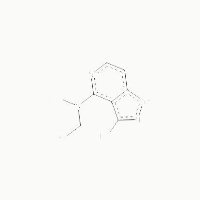 Cc1n[nH]c2ccnc(N(C)CC(C)C)c12